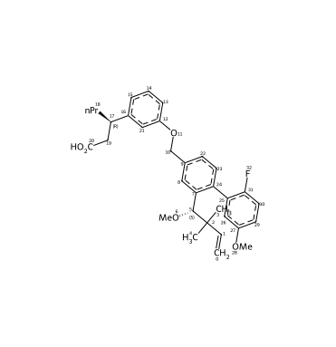 C=CC(C)(C)[C@H](OC)c1cc(COc2cccc([C@H](CCC)CC(=O)O)c2)ccc1-c1cc(OC)ccc1F